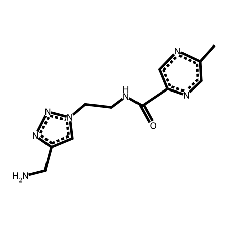 Cc1cnc(C(=O)NCCn2cc(CN)nn2)cn1